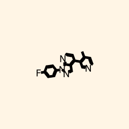 Cc1ccncc1-c1ccnc2c1cnn2-c1ccc(F)cc1